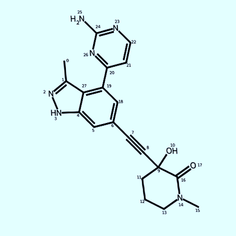 Cc1n[nH]c2cc(C#CC3(O)CCCN(C)C3=O)cc(-c3ccnc(N)n3)c12